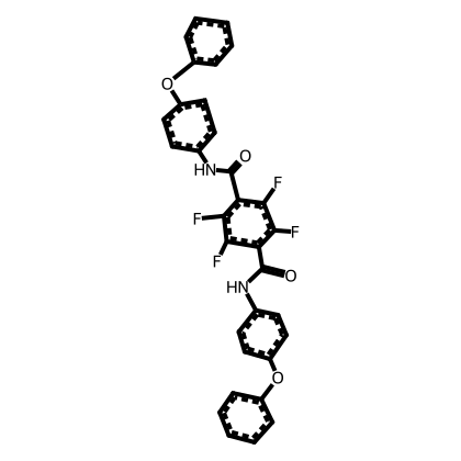 O=C(Nc1ccc(Oc2ccccc2)cc1)c1c(F)c(F)c(C(=O)Nc2ccc(Oc3ccccc3)cc2)c(F)c1F